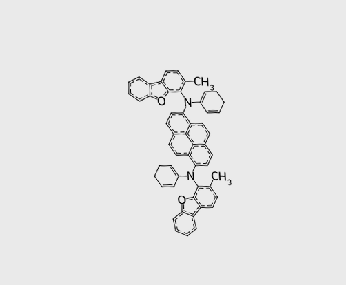 Cc1ccc2c(oc3ccccc32)c1N(C1=CCCC=C1)c1ccc2ccc3c(N(C4=CCCC=C4)c4c(C)ccc5c4oc4ccccc45)ccc4ccc1c2c43